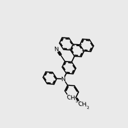 C=C/C=C\C(=C/C)N(c1ccccc1)c1ccc(-c2cc3ccccc3c3ccccc23)c(C#N)c1